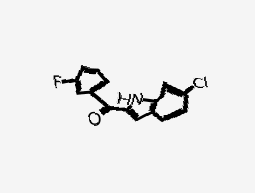 O=C(c1cccc(F)c1)c1cc2ccc(Cl)cc2[nH]1